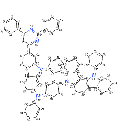 c1ccc(-c2cc(-c3ccc4c5ccc6c(c7cc(-n8c9ccccc9c9c8ccc8c%10ccccc%10n(-c%10ccccc%10)c89)ccc7n6-c6ccccc6)c5n(-c5ccccc5)c4c3)nc(-c3ccccc3)n2)cc1